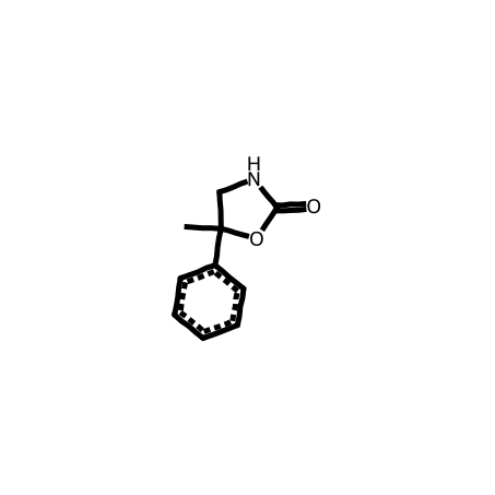 CC1(c2ccccc2)CNC(=O)O1